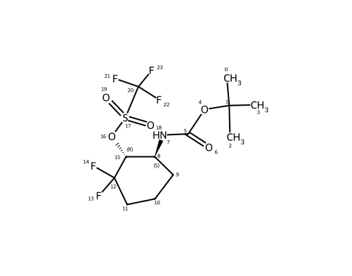 CC(C)(C)OC(=O)N[C@H]1CCCC(F)(F)[C@@H]1OS(=O)(=O)C(F)(F)F